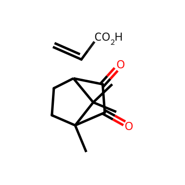 C=CC(=O)O.CC12CCC(C(=O)C1=O)C2(C)C